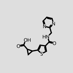 O=C(NCc1ncccn1)c1csc(C2CC2C(=O)O)c1